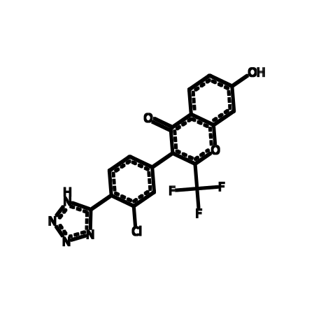 O=c1c(-c2ccc(-c3nnn[nH]3)c(Cl)c2)c(C(F)(F)F)oc2cc(O)ccc12